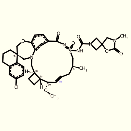 CO[C@H]1/C=C/C[C@H](C)CS(=O)(NC(=O)N2CC3(CN(C)C(=O)O3)C2)=NC(=O)c2ccc3c(c2)N(C[C@@H]2CC[C@H]21)C[C@@]1(CCCc2cc(Cl)ccc21)CO3